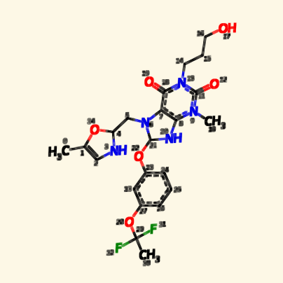 CC1=CNC(CN2c3c(n(C)c(=O)n(CCCO)c3=O)NC2Oc2cccc(OC(C)(F)F)c2)O1